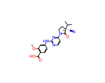 COc1cc(Nc2nccc(N3CC[C@@](C#N)(C(C)C)C3=O)n2)ccc1C(=O)O